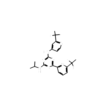 CC(C)Nc1nc(Nc2ccnc(C(C)(F)F)c2)nc(-c2cccc(C(C)(F)F)n2)n1